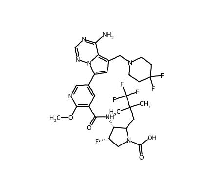 COc1ncc(-c2cc(CN3CCC(F)(F)CC3)c3c(N)ncnn23)cc1C(=O)N[C@@H]1C(CC(C)(C)C(F)(F)F)N(C(=O)O)C[C@@H]1F